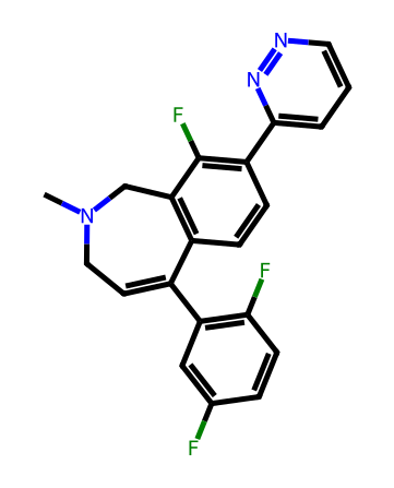 CN1CC=C(c2cc(F)ccc2F)c2ccc(-c3cccnn3)c(F)c2C1